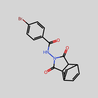 O=C(NN1C(=O)C2=C3C=CC=C(C=C3)C2C1=O)c1ccc(Br)cc1